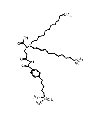 CCCCCCCCCCCCN(CCCCCCCCCCCC)[C@@H](CCC(=O)NC(=O)c1ccc(OCCCC[N+](C)(C)C)cc1)C(=O)O.Cl